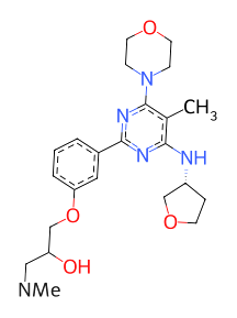 CNCC(O)COc1cccc(-c2nc(N[C@@H]3CCOC3)c(C)c(N3CCOCC3)n2)c1